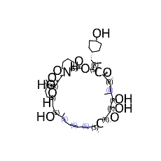 C/C1=C\[C@@H](C)C(=O)C[C@@H]([C@H](C)C[C@H]2CC[C@H](O)CC2)OC(=O)[C@@H]2CCCCN2C(=O)C(=O)[C@]2(O)O[C@@H](CC[C@H]2C)C[C@H](O)/C(C)=C/C=C/C=C/[C@@H](C)C[C@@H](C)C(=O)[C@H](O)[C@@H]1O